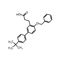 CC(C)(C)c1ccc(-c2ccc(OCc3ccccc3)c(CCC(=O)O)c2)cc1